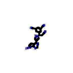 N#CCC(c1cc(C#N)cc(C#N)c1)n1cc(-c2ncnc3[nH]ccc23)cn1